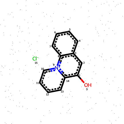 Oc1cc2ccccc2[n+]2ccccc12.[Cl-]